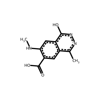 CNc1cc2c(O)nnc(C)c2cc1C(=O)O